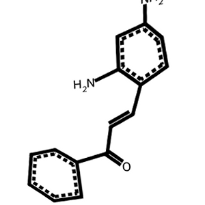 Nc1ccc(C=CC(=O)c2ccccc2)c(N)c1